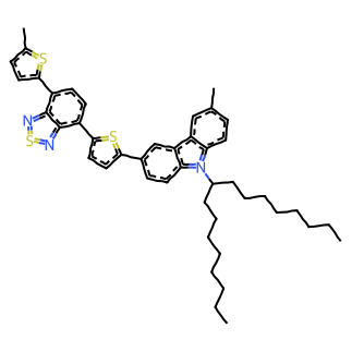 CCCCCCCCC(CCCCCCCC)n1c2ccc(C)cc2c2cc(-c3ccc(-c4ccc(-c5ccc(C)s5)c5nsnc45)s3)ccc21